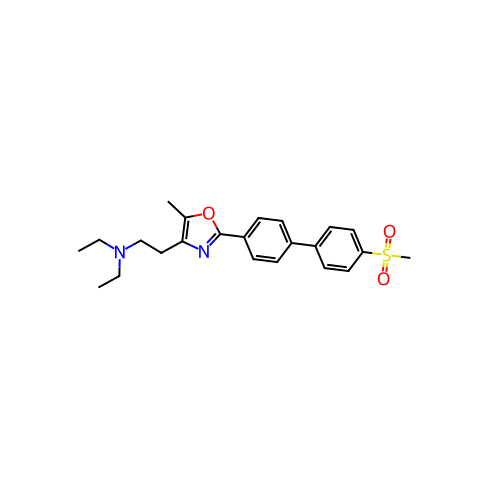 CCN(CC)CCc1nc(-c2ccc(-c3ccc(S(C)(=O)=O)cc3)cc2)oc1C